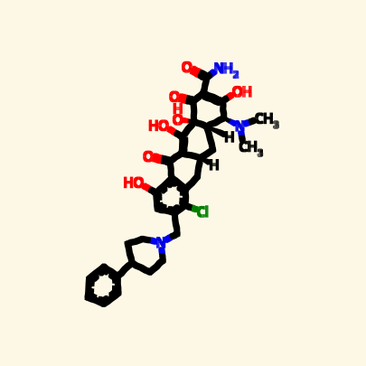 CN(C)[C@@H]1C(O)=C(C(N)=O)C(=O)[C@@]2(O)C(O)=C3C(=O)c4c(O)cc(CN5CCC(c6ccccc6)CC5)c(Cl)c4C[C@H]3C[C@@H]12